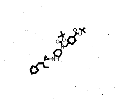 CC/C(=C\c1ccccc1)[C@@H]1C[C@H]1N[C@H]1CC[C@H](N(Cc2ccc(C(=O)OC(C)(C)C)cc2)C(=O)OC(C)(C)C)CC1